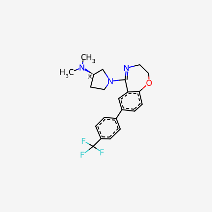 CN(C)[C@@H]1CCN(C2=NCCOc3ccc(-c4ccc(C(F)(F)F)cc4)cc32)C1